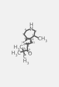 CC1CNCCc2sc(C(=O)C(C)(C)C)cc21